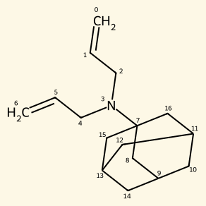 C=CCN(CC=C)C12CC3CC(CC(C3)C1)C2